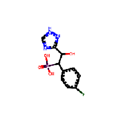 O=P(O)(O)C(c1ccc(F)cc1)C(O)c1nc[nH]n1